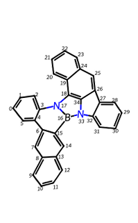 c1ccc2c(c1)-c1cc3ccccc3cc1B1N2c2c3ccccc3cc3c4ccccc4n1c23